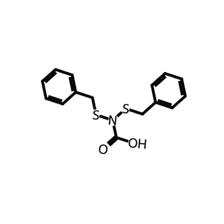 O=C(O)N(SCc1ccccc1)SCc1ccccc1